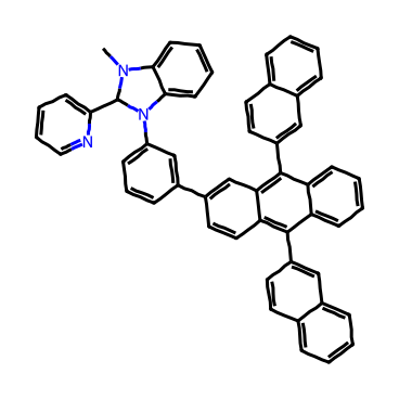 CN1c2ccccc2N(c2cccc(-c3ccc4c(-c5ccc6ccccc6c5)c5ccccc5c(-c5ccc6ccccc6c5)c4c3)c2)C1c1ccccn1